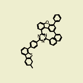 CC1C=Cc2c(sc3c(-c4ccc(-c5nc(-c6ccccc6)nc(-c6cccc7oc8c(-c9ccccc9)cc(-c9ccccc9)cc8c67)n5)cc4)cccc23)C1